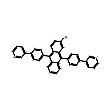 Cc1ccc2c(-c3ccc(-c4cccnc4)cc3)c3ccccc3c(-c3ccc(-c4cccnc4)cc3)c2c1